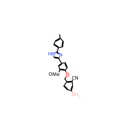 Bc1ccc(COc2ccc(-c3c[nH]c(-c4ccc(C)cc4)n3)cc2OC)c(C#N)c1